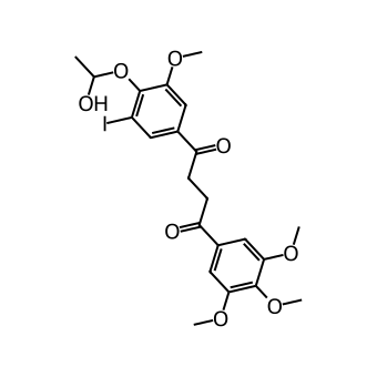 COc1cc(C(=O)CCC(=O)c2cc(OC)c(OC)c(OC)c2)cc(I)c1OC(C)O